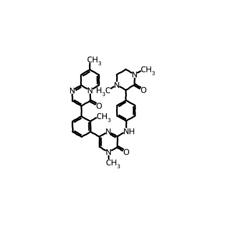 Cc1ccn2c(=O)c(-c3cccc(-c4cn(C)c(=O)c(Nc5ccc(C6C(=O)N(C)CCN6C)cc5)n4)c3C)cnc2c1